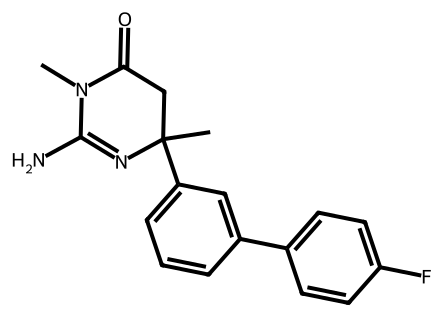 CN1C(=O)CC(C)(c2cccc(-c3ccc(F)cc3)c2)N=C1N